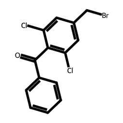 O=C(c1ccccc1)c1c(Cl)cc(CBr)cc1Cl